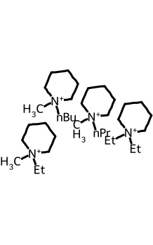 CCCC[N+]1(C)CCCCC1.CCC[N+]1(C)CCCCC1.CC[N+]1(C)CCCCC1.CC[N+]1(CC)CCCCC1